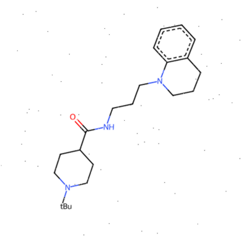 CC(C)(C)N1CCC(C(=O)NCCCN2CCCc3ccccc32)CC1